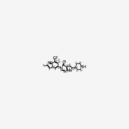 Cc1cn2cc(-n3cnc4nc(N5CCNCC5)sc4c3=O)cc(C(F)(F)F)c2n1